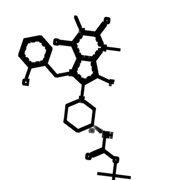 Cn1c(=O)c2c(c(F)c(N3CCC[C@@H](NC(=O)OC(C)(C)C)C3)n2Cc2ccccc2Cl)n(C)c1=O